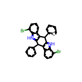 Brc1cccc2c3c([nH]c12)C(c1ccccc1)c1c([nH]c2c(Br)cccc12)C3c1ccccc1